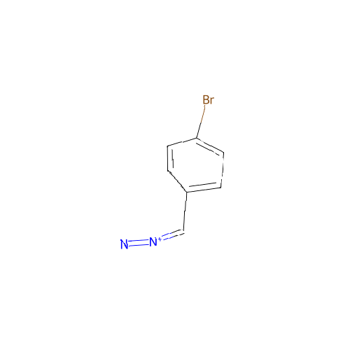 [N-]=[N+]=Cc1ccc(Br)cc1